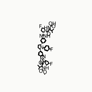 COC(=O)N[C@H](C(=O)N1C[C@@H](F)C[C@H]1c1nc2cc([C@H]3CC[C@H](c4ccc5[nH]c([C@@H]6C[C@H](F)CN6C(=O)[C@@H](NC(=O)O)C(C)C)nc5c4)N3c3ccc(F)cc3)ccc2[nH]1)C(C)C